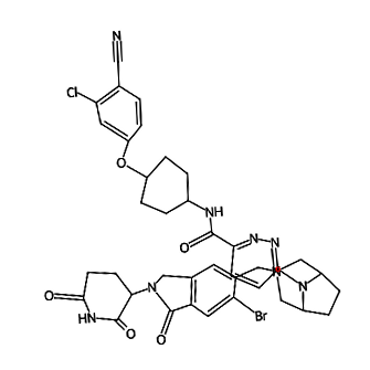 N#Cc1ccc(OC2CCC(NC(=O)c3ccc(N4C5CCC4CN(Cc4cc6c(cc4Br)C(=O)N(C4CCC(=O)NC4=O)C6)C5)nn3)CC2)cc1Cl